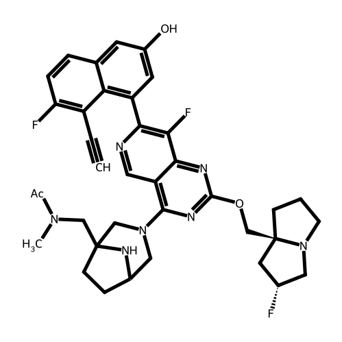 C#Cc1c(F)ccc2cc(O)cc(-c3ncc4c(N5CC6CCC(CN(C)C(C)=O)(C5)N6)nc(OC[C@@]56CCCN5C[C@H](F)C6)nc4c3F)c12